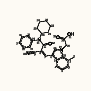 Cc1cccc2c(C=C(C#N)C(=O)N(c3ccccc3)C3CCCCC3)cn(CC(=O)O)c12